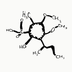 CCC(C)c1c(O)c(S(=O)(=O)O)c(C)c(OC)c1OC